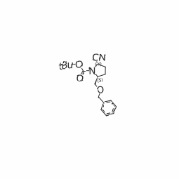 CC(C)(C)OC(=O)N1[C@H](COCc2ccccc2)CC[C@H]1C#N